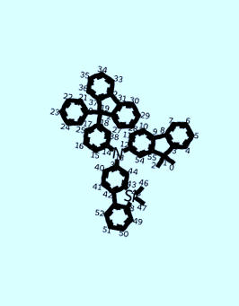 CC1(C)c2ccccc2-c2ccc(N(c3cccc(C4(c5ccccc5)c5ccccc5-c5ccccc54)c3)c3ccc4c(c3)[Si](C)(C)c3ccccc3-4)cc21